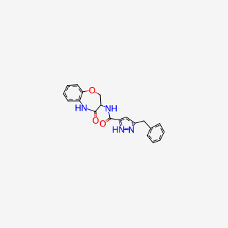 O=C(NC1COc2ccccc2NC1=O)c1cc(Cc2ccccc2)n[nH]1